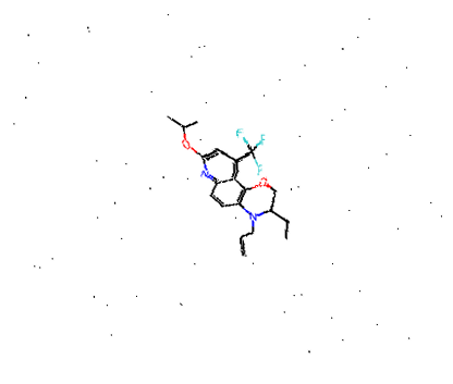 C=CCN1c2ccc3nc(OC(C)C)cc(C(F)(F)F)c3c2OCC1CC